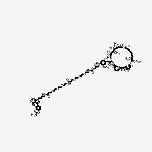 CCO[C@@H]1C[C@@H]([C@H](C)C[C@@H]2CC[C@H](n3cc(COC(=O)NCCOCCOCCOCCC(=O)NCCOCCOCCOCCC(=O)NCCCCn4nc(-c5ccc6oc(N)nc6c5)c5c(N)ncnc54)nn3)[C@H](OC)C2)OC(=O)[C@@H]2CCCCN2C(=O)C(=O)[C@]2(O)O[C@@H](CC[C@H]2C)C[C@H](OC)/C(C)=C/C=C/C=C/[C@@H](C)C[C@@H](C)C(=O)[C@H](O)[C@H](O)/C(C)=C/[C@H]1C